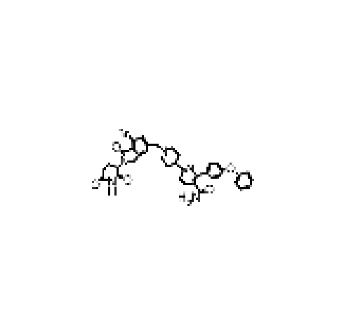 NC(=O)c1ccc(C2CCN(Cc3cc(Br)c4c(c3)CN(C3CCC(=O)NC3=O)C4=O)CC2)nc1-c1ccc(Oc2ccccc2)cc1